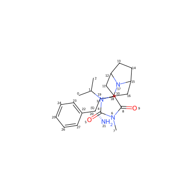 CC(C)N1C(=O)N(C)C(=O)C12CC1CCC(C2)N1CC[C@H](N)c1ccccc1